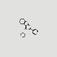 c1cc(-c2nc(O[C@@H]3CCNC3)c3c4c(sc3n2)CCCC4)ccn1